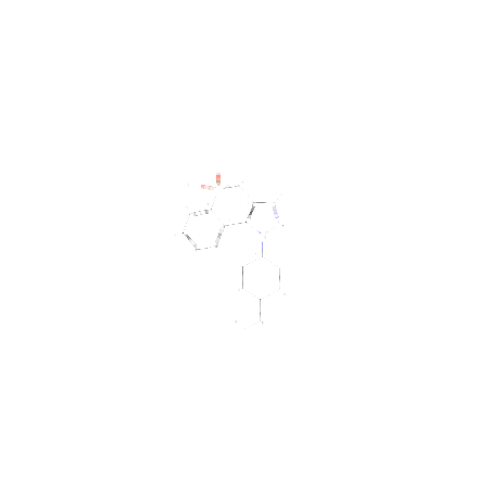 CCOC(=O)c1nn(C2CCC(CO)CC2)c2c1CS(=O)(=O)c1ccccc1-2